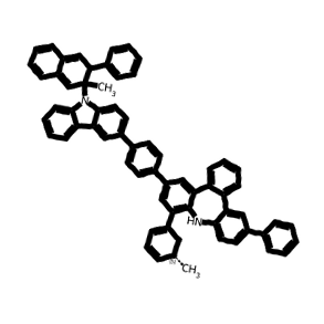 C[C@@H]1C=CC=C(c2cc(-c3ccc(-c4ccc5c(c4)c4ccccc4n5C4(C)C=c5ccccc5=CC4c4ccccc4)cc3)cc3c2Nc2ccc(-c4ccccc4)cc2-c2ccccc2-3)C1